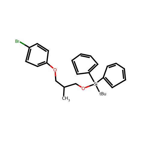 CC(COc1ccc(Br)cc1)CO[Si](c1ccccc1)(c1ccccc1)C(C)(C)C